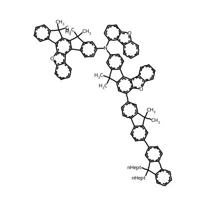 CCCCCCCC1(CCCCCCC)c2ccccc2-c2ccc(-c3ccc4c(c3)C(C)(C)c3cc(-c5cc6c(c7c5oc5ccccc57)-c5ccc(N(c7ccc8c(c7)C(C)(C)c7c9c(c%10oc%11ccccc%11c%10c7-8)-c7ccccc7C9(C)C)c7cccc8oc9ccccc9c78)cc5C6(C)C)ccc3-4)cc21